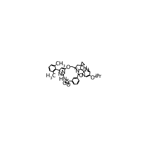 Cc1cccc(C)c1-c1cc2nc(n1)NS(=O)(=O)c1cccc(c1)C(=O)N(Cc1ncc(OC(C)C)cn1)[C@H](CC1(C)CC1)CO2